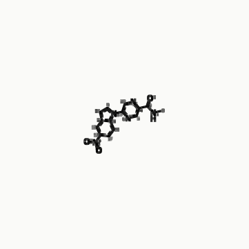 CNC(=O)c1cnc(-n2ccc3cc([N+](=O)[O-])ccc32)cn1